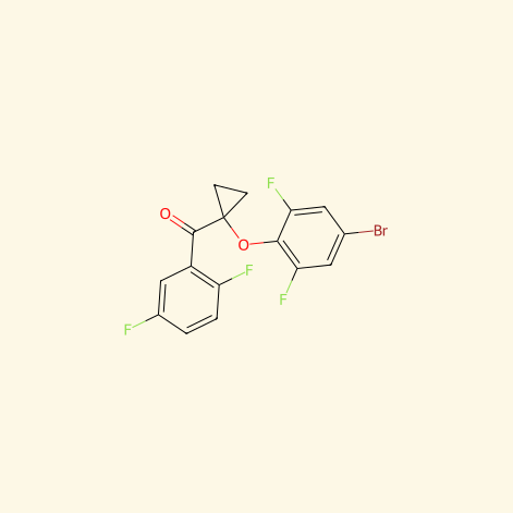 O=C(c1cc(F)ccc1F)C1(Oc2c(F)cc(Br)cc2F)CC1